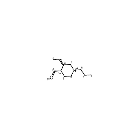 C/C=C1/CN(CCC)CC[C@H]1C=O